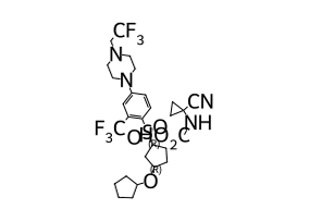 N#CC1(NC(=O)O)CC1.O=S(=O)(c1ccc(N2CCN(CC(F)(F)F)CC2)cc1C(F)(F)F)[C@@H]1CC[C@@H](OC2CCCC2)C1